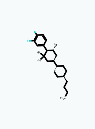 [2H][C@@H]1C[C@@H]([C@H]2CC[C@H](CCCC)CC2)CC([2H])([2H])C1c1ccc(F)c(F)c1